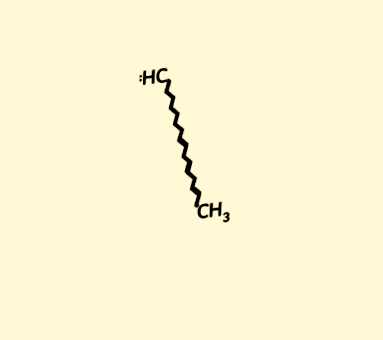 [CH]CCCCCCCC=CCC=CCC=CCC